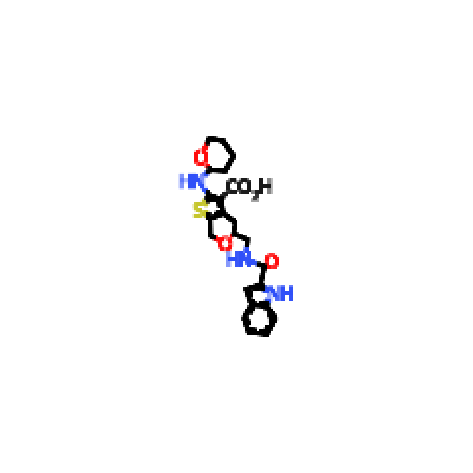 O=C(NCC1Cc2c(sc(NC3CCCCO3)c2C(=O)O)CO1)c1cc2ccccc2[nH]1